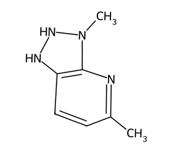 Cc1ccc2c(n1)N(C)NN2